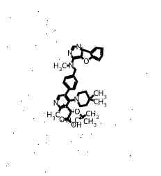 Cc1ncc(-c2ccc(CN(C)c3ncnc4c3oc3ccccc34)cc2)c(N2CCC(C)(C)CC2)c1[C@H](OC(C)(C)C)C(=O)O